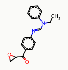 CCN(C=Nc1ccc(C(=O)C2CO2)cc1)c1ccccc1